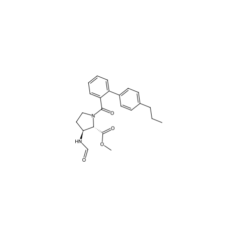 CCCc1ccc(-c2ccccc2C(=O)N2CC[C@H](NC=O)[C@H]2C(=O)OC)cc1